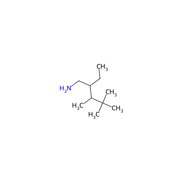 CCC(CN)C(C)C(C)(C)C